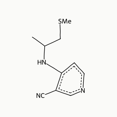 CSCC(C)Nc1ccncc1C#N